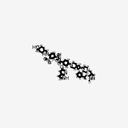 CC(C)c1ccccc1[C@@H]1CN(Cc2cnn(C)c2)CCN1C1CC2(CCN(c3ccc(C(=O)NS(=O)(=O)c4ccc(NCC5CCC(C)(O)CC5)c([N+](=O)[O-])c4)c(Oc4cnc5[nH]ccc5c4)c3)CC2)C1